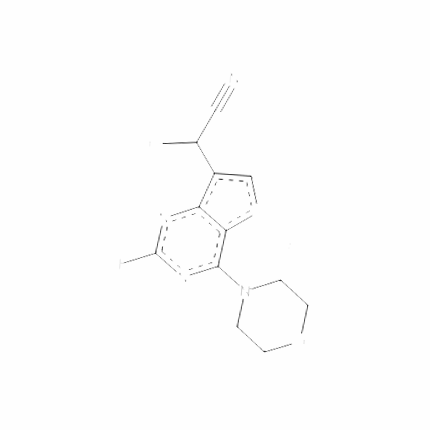 C[C@@H]1COCCN1c1nc(Cl)nc2c(C(Cl)C#N)csc12